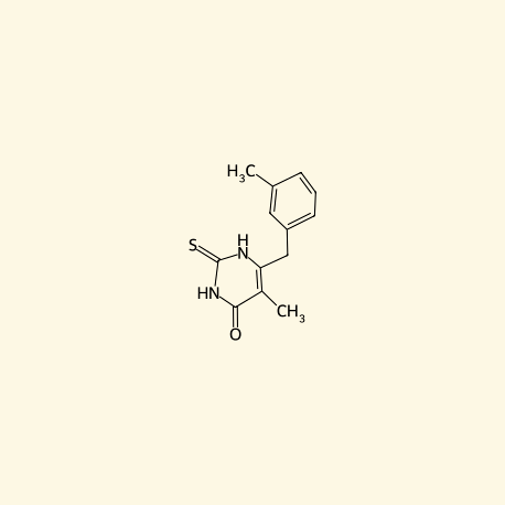 Cc1cccc(Cc2[nH]c(=S)[nH]c(=O)c2C)c1